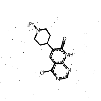 CC(C)N1CCC(c2cc3c(Cl)ncnc3[nH]c2=O)CC1